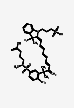 C=C(/C=C/C=C/C=C/C=C1/N(CCCS(=O)(=O)O)c2ccccc2C1(C)C)C(C)(C)c1cc(S(=O)(=O)N(C)CCCC(=O)O)ccc1C